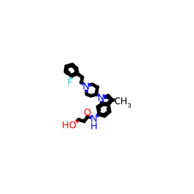 Cc1cn(C2CCN(CCc3ccccc3F)CC2)c2cc(NC(=O)CCO)ccc12